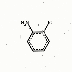 CC[n+]1ccccc1N.[I-]